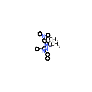 C=Cc1c(/C=C\C)n(-c2cc(-c3ccccc3)nc(-c3ccc4ccccc4c3)n2)c2ccc3c(c4ccccc4n3-c3ccccc3)c12